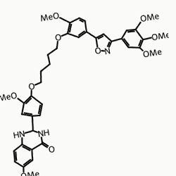 COc1ccc2c(c1)C(=O)NC(c1ccc(OCCCCCOc3cc(-c4cc(-c5cc(OC)c(OC)c(OC)c5)no4)ccc3OC)c(OC)c1)N2